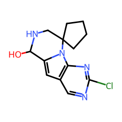 OC1NCC2(CCCC2)n2c1cc1cnc(Cl)nc12